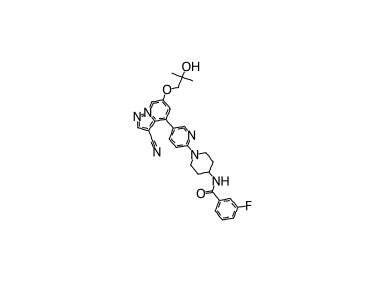 CC(C)(O)COc1cc(-c2ccc(N3CCC(NC(=O)c4cccc(F)c4)CC3)nc2)c2c(C#N)cnn2c1